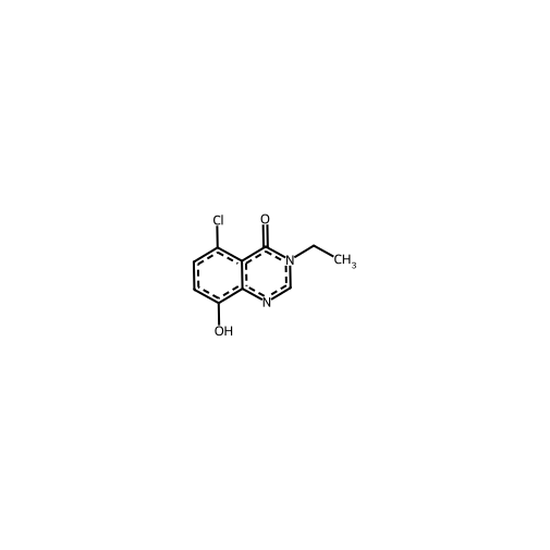 CCn1cnc2c(O)ccc(Cl)c2c1=O